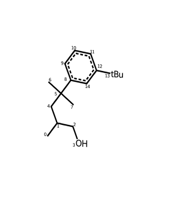 CC(CO)CC(C)(C)c1cccc(C(C)(C)C)c1